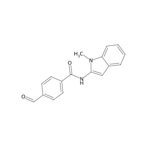 Cn1c(NC(=O)c2ccc(C=O)cc2)cc2ccccc21